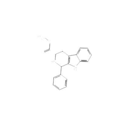 COC(=O)[C@@H]1Cc2c([nH]c3ccccc23)C(c2ccccc2)N1